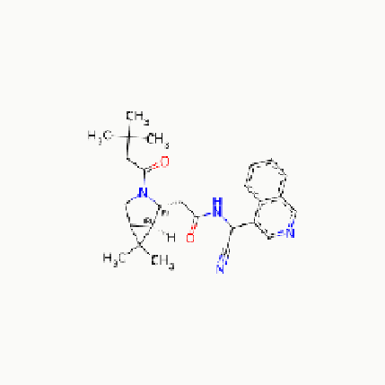 CC(C)(C)CC(=O)N1CC2[C@@H]([C@H]1CC(=O)NC(C#N)c1cncc3ccccc13)C2(C)C